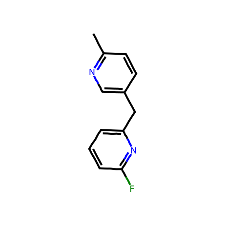 Cc1ccc(Cc2cccc(F)n2)cn1